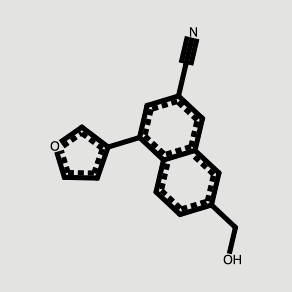 N#Cc1cc(-c2ccoc2)c2ccc(CO)cc2c1